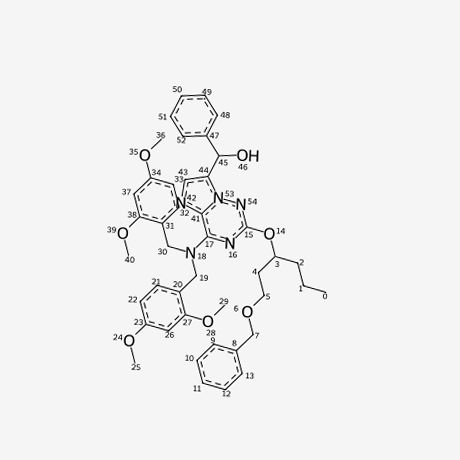 CCCC(CCOCc1ccccc1)Oc1nc(N(Cc2ccc(OC)cc2OC)Cc2ccc(OC)cc2OC)c2ncc(C(O)c3c[c]ccc3)n2n1